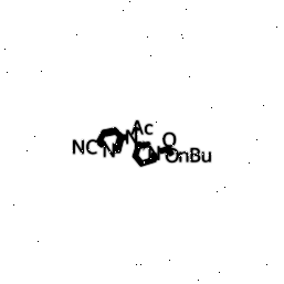 CCCCOC(=O)N1CCC[C@@H](N(C(C)=O)c2ccc(C#N)nc2)C1